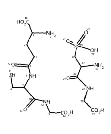 NC(CCC(=O)NC(CS)C(=O)NCC(=O)O)C(=O)O.NC(C[Se](=O)(=O)O)C(=O)NCC(=O)O